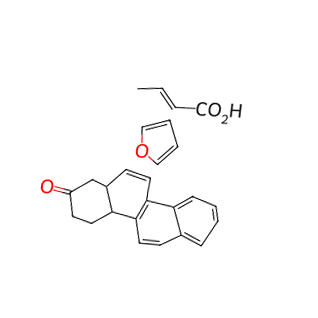 CC=CC(=O)O.O=C1CCC2c3ccc4ccccc4c3C=CC2C1.c1ccoc1